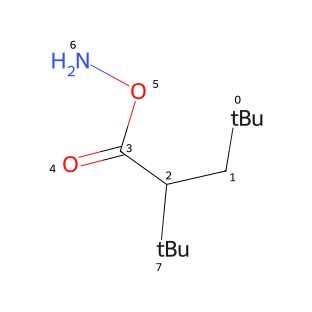 CC(C)(C)CC(C(=O)ON)C(C)(C)C